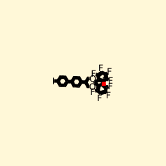 Fc1c(F)c(F)c(C2(c3c(F)c(F)c(F)c(F)c3F)OCC(C3CCC(C4CCC(I)CC4)CC3)CO2)c(F)c1F